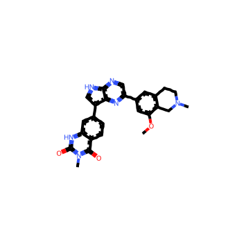 COc1cc(-c2cnc3[nH]cc(-c4ccc5c(=O)n(C)c(=O)[nH]c5c4)c3n2)cc2c1CN(C)CC2